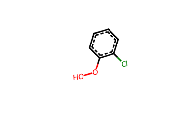 OOc1ccccc1Cl